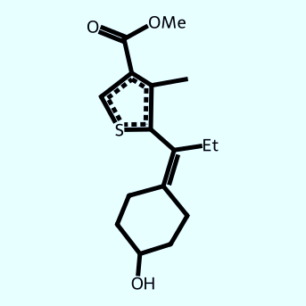 CCC(=C1CCC(O)CC1)c1scc(C(=O)OC)c1C